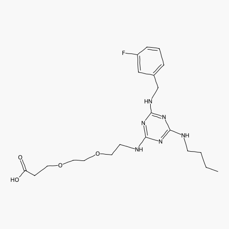 CCCCNc1nc(NCCOCCOCCC(=O)O)nc(NCc2cccc(F)c2)n1